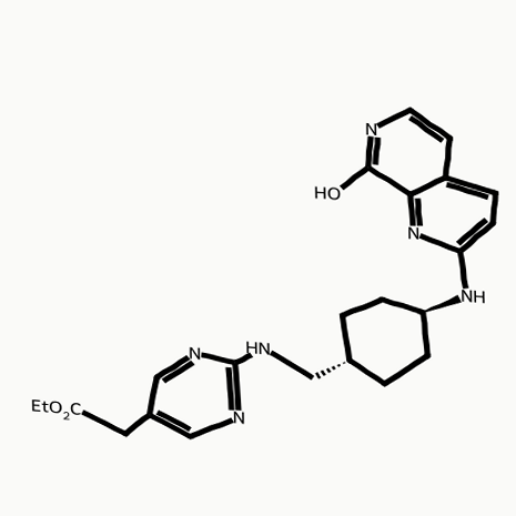 CCOC(=O)Cc1cnc(NC[C@H]2CC[C@H](Nc3ccc4ccnc(O)c4n3)CC2)nc1